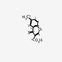 Cc1ccc2occ(C(=O)O)c(=S)c2c1